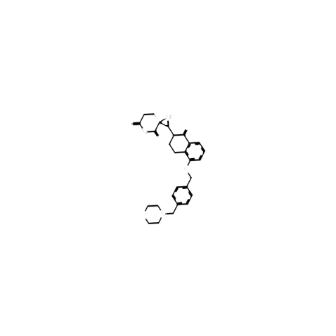 O=C1CC[C@]2(NC2C2CCc3c(NCc4ccc(CN5CCOCC5)cc4)cccc3C2=O)C(=O)N1